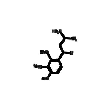 CCC(CC(N)C(=O)O)c1ccc(OC)c(OC)c1OC